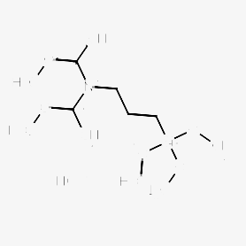 COC(C)N(CCC[Si](OC)(OC)OC)C(C)OC.Cl